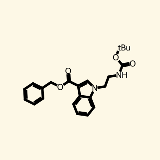 CC(C)(C)OC(=O)NCCn1cc(C(=O)OCc2ccccc2)c2ccccc21